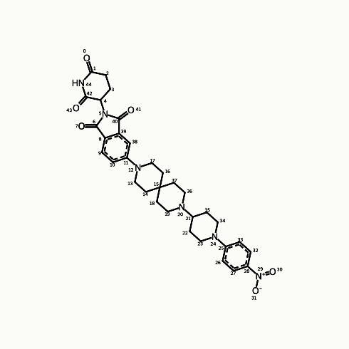 O=C1CCC(N2C(=O)c3ccc(N4CCC5(CC4)CCN(C4CCN(c6ccc([N+](=O)[O-])cc6)CC4)CC5)cc3C2=O)C(=O)N1